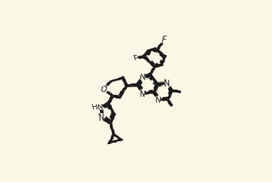 Cc1nc2nc(C3CCOC(c4cc(C5CC5)n[nH]4)C3)nc(-c3ccc(F)cc3F)c2nc1C